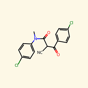 CN(C(=O)C(C#N)C(=O)c1ccc(Cl)cc1)c1ccc(Cl)cc1